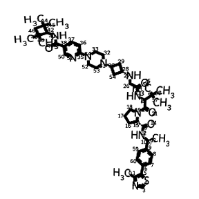 Cc1ncsc1-c1ccc([C@H](C)NC(=O)[C@@H]2CCCN2C(=O)[C@@H](NC(=O)CN[C@H]2C[C@H](N3CCN(c4ccc(C(=O)NC5C(C)(C)CC5(C)C)cn4)CC3)C2)C(C)(C)C)cc1